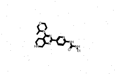 CCNC(=O)Nc1ccc(-c2nc3c(c(N4CCOCC4C)n2)CCNC3)cn1